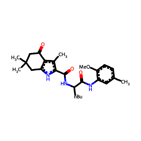 CCCCC(NC(=O)c1[nH]c2c(c1C)C(=O)CC(C)(C)C2)C(=O)Nc1cc(C)ccc1OC